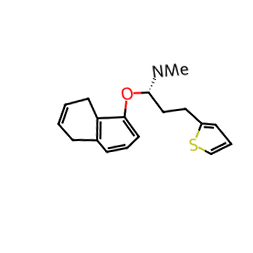 CN[C@H](CCc1cccs1)Oc1cccc2c1CC=CC2